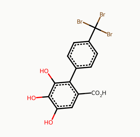 O=C(O)c1cc(O)c(O)c(O)c1-c1ccc(C(Br)(Br)Br)cc1